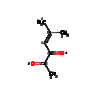 CC(=O)C(=O)C=C(C)C